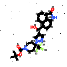 CC(C)(C)OC(=O)N1CCC(n2cc(C(O)c3ccc4c5c(cccc35)C(=O)N4)cn2)(C(F)(F)F)CC1